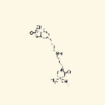 Cn1c(=O)sc2cc(CCCCNCCCCN3CCC(C)(C)CC3=O)ccc21